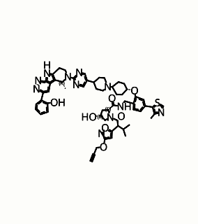 C#CCOc1cc(C(C(=O)N2C[C@H](O)C[C@H]2C(=O)NCc2ccc(-c3scnc3C)cc2O[C@H]2CC[C@H](N3CCC(c4cnc(N5CCc6[nH]c7nnc(-c8ccccc8O)cc7c6[C@H]5C)nc4)CC3)CC2)C(C)C)on1